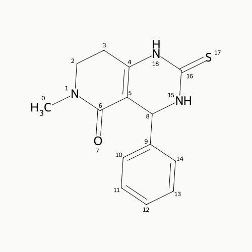 CN1CCC2=C(C1=O)C(c1ccccc1)NC(=S)N2